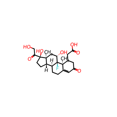 C[C@]12C[C@H](O)[C@@]3(F)[C@@H](CCC4=CC(=O)CC(CC(=O)O)[C@@]43C)[C@@H]1CC[C@]2(O)C(=O)CO